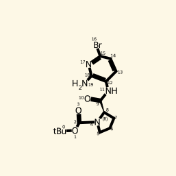 CC(C)(C)OC(=O)N1CCC[C@@H]1C(=O)Nc1ccc(Br)nc1N